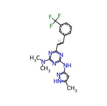 Cc1cc(Nc2nc(/C=C/c3cccc(C(F)(F)F)c3)nc(N(C)C)n2)n[nH]1